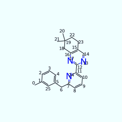 Cc1cccc(Cc2cccc(-c3ncc4c(n3)CC(C)(C)CC4)n2)c1